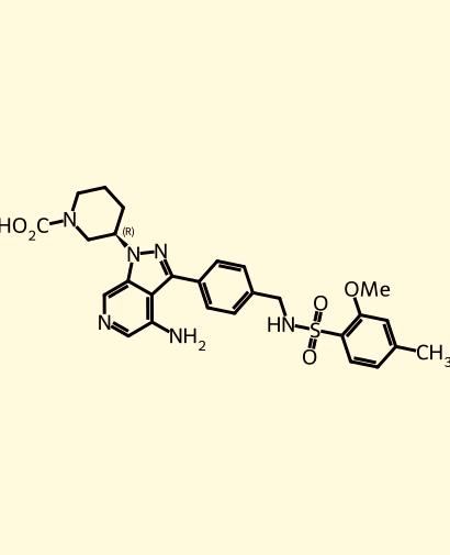 COc1cc(C)ccc1S(=O)(=O)NCc1ccc(-c2nn([C@@H]3CCCN(C(=O)O)C3)c3cncc(N)c23)cc1